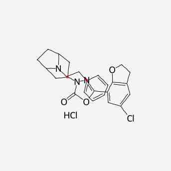 Cl.O=c1oc(-c2cc(Cl)cc3c2OCC3)nn1C1CC2CCC(C1)N2CCc1ccccc1